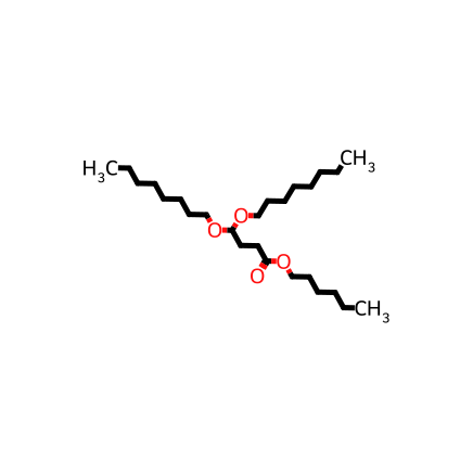 CCCCCCCCOC(CCC(=O)OCCCCCC)OCCCCCCCC